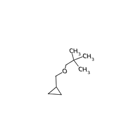 CC(C)(C)COCC1CC1